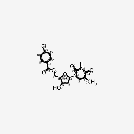 Cc1cn([C@H]2CC(O)[C@@H](COC(=O)c3ccc(Cl)cc3)O2)c(=O)[nH]c1=O